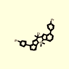 CCC1(C)C2=Cc3c(-c4ccc(C(C)C)cc4)cccc3[CH]2[Hf]([CH3])([CH3])[CH]2C1=Cc1c(-c3ccc(C(C)C)cc3)cccc12